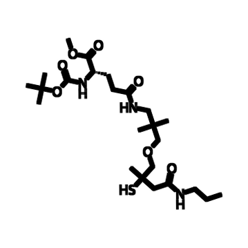 CCCNC(=O)CC(C)(S)COCC(C)(C)CNC(=O)CC[C@H](NC(=O)OC(C)(C)C)C(=O)OC